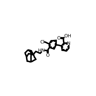 O=C(NCCC12CC3CC(CC(C3)C1)C2)c1cc(-c2cccnc2C(=O)O)ccc1Cl